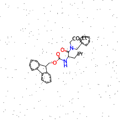 CCOC(=O)CN(Cc1ccccc1)C(=O)C(CC(C)C)NC(=O)OCC1c2ccccc2-c2ccccc21